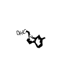 Cc1ccc2ccn(CC=O)c2c1